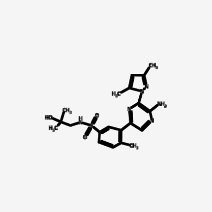 Cc1cc(C)n(-c2nc(-c3cc(S(=O)(=O)NCC(C)(C)O)ccc3C)cnc2N)n1